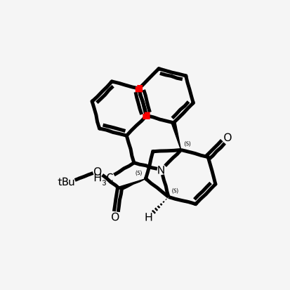 CC(c1ccccc1)N1[C@H]2C=CC(=O)[C@@]1(c1ccccc1)C[C@@H]2C(=O)OC(C)(C)C